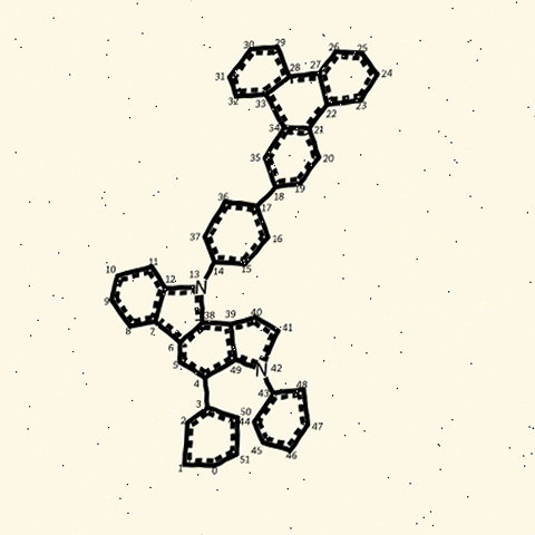 c1ccc(-c2cc3c4ccccc4n(-c4ccc(-c5ccc6c7ccccc7c7ccccc7c6c5)cc4)c3c3ccn(-c4ccccc4)c23)cc1